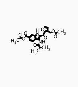 CC(=O)OCc1ccoc1C(=O)c1[nH]c2cc(C(=O)OC(C)Cl)ccc2c1NC(=O)C(C)C